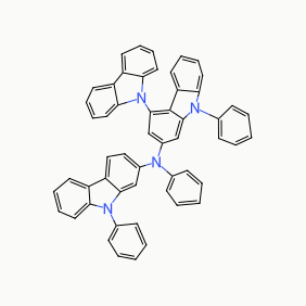 c1ccc(N(c2ccc3c4ccccc4n(-c4ccccc4)c3c2)c2cc(-n3c4ccccc4c4ccccc43)c3c4ccccc4n(-c4ccccc4)c3c2)cc1